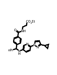 CCCC(Nc1ccc(-n2ccc(C3CC3)n2)nc1)c1ccc(C(=O)NCCC(=O)OCC)cc1